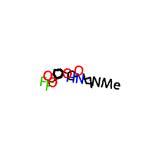 CNC1(C)CC(C)(NC(=O)COc2ccc3c(c2)OC(F)(F)O3)C1